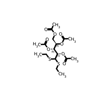 CCSC(SCC)[C@@H](OC(C)=O)[C@H](OC(C)=O)[C@@H](COC(C)=O)OC(C)=O